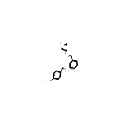 Cc1ncc(NC(=O)c2cc(NC(=O)c3ccc(Cl)c(Cl)c3)ccc2C)s1